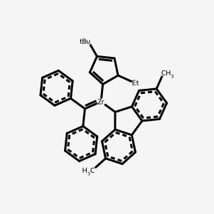 CCC1C=C(C(C)(C)C)C=[C]1[Zr](=[C](c1ccccc1)c1ccccc1)[CH]1c2cc(C)ccc2-c2ccc(C)cc21